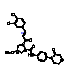 CO[C@@H]1C[C@H](C(=O)Nc2ccc(N3CCOCC3=O)cc2)N(C(=O)/C=C/c2ccc(Cl)c(Cl)c2)C1